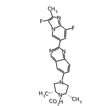 Cc1nc2c(F)cc(-c3ncc4cc(N5C[C@@H](C)N(C(=O)O)[C@@H](C)C5)ccc4n3)cn2c1F